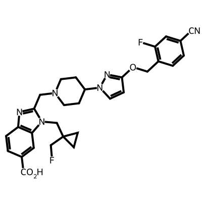 N#Cc1ccc(COc2ccn(C3CCN(Cc4nc5ccc(C(=O)O)cc5n4CC4(CF)CC4)CC3)n2)c(F)c1